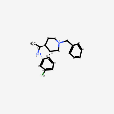 CC(N)[C@H]1CCN(Cc2ccccc2)C[C@@H]1c1ccc(Cl)cc1